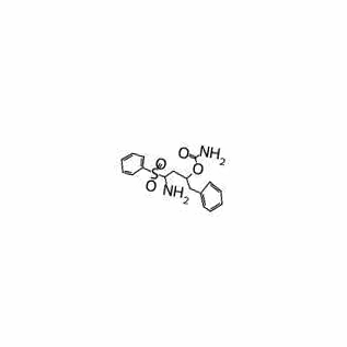 NC(=O)OC(Cc1ccccc1)CC(N)S(=O)(=O)c1ccccc1